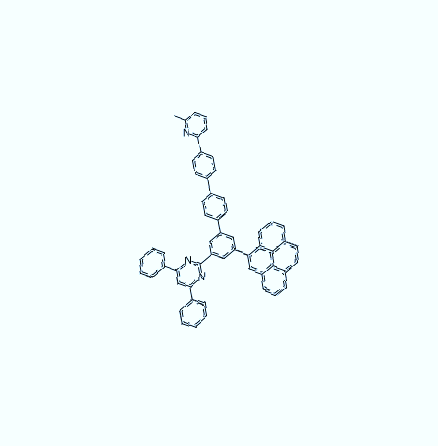 Cc1cccc(-c2ccc(-c3ccc(-c4cc(-c5nc(-c6ccccc6)cc(-c6ccccc6)n5)cc(-c5cc6cccc7ccc8cccc5c8c76)c4)cc3)cc2)n1